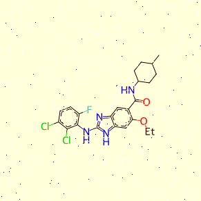 CCOc1cc2[nH]c(Nc3c(F)ccc(Cl)c3Cl)nc2cc1C(=O)NC1CCC(C)CC1